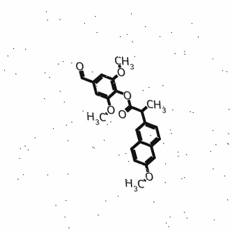 COc1ccc2cc(C(C)C(=O)Oc3c(OC)cc(C=O)cc3OC)ccc2c1